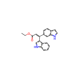 CCOC(=O)C=C(c1ccc2cc[nH]c2c1)c1c[nH]c2ccccc12